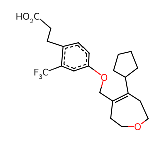 O=C(O)CCc1ccc(OCC2=C(C3CCCC3)CCOCC2)cc1C(F)(F)F